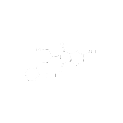 CC(C)CC(CCc1ccccc1S(=O)(=O)O)N1C(=O)c2ccc(N)cc2C1=O